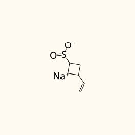 C=CC1CC(S(=O)[O-])C1.[Na+]